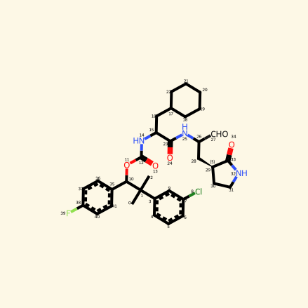 CC(C)(c1cccc(Cl)c1)C(OC(=O)NC(CC1CCCCC1)C(=O)NC(C=O)C[C@@H]1CCNC1=O)c1ccc(F)cc1